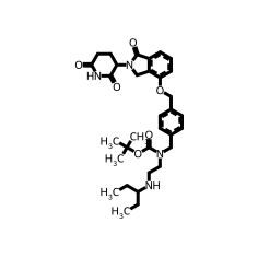 CCC(CC)NCCN(Cc1ccc(COc2cccc3c2CN(C2CCC(=O)NC2=O)C3=O)cc1)C(=O)OC(C)(C)C